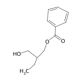 CCC(CO)COC(=O)c1ccccc1